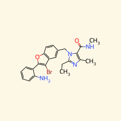 CCc1nc(C)c(C(=O)NC)n1Cc1ccc2oc(-c3ccccc3N)c(Br)c2c1